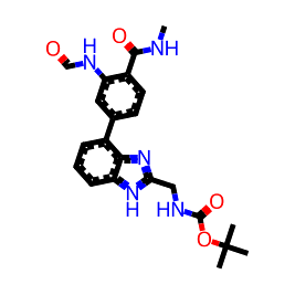 CNC(=O)c1ccc(-c2cccc3[nH]c(CNC(=O)OC(C)(C)C)nc23)cc1NC=O